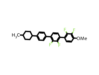 COc1ccc(-c2ccc(-c3ccc(C4CCC(C)CC4)cc3)c(F)c2F)c(F)c1F